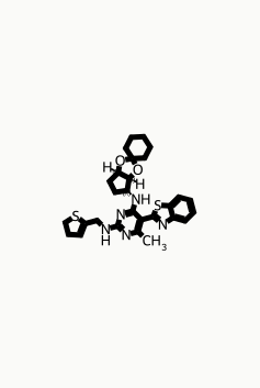 Cc1nc(NCC2=CCCS2)nc(N[C@@H]2CC[C@H]3OC4(CCCCC4)O[C@@H]23)c1-c1nc2ccccc2s1